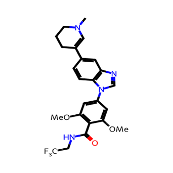 COc1cc(-n2cnc3cc(C4=CN(C)CCC4)ccc32)cc(OC)c1C(=O)NCC(F)(F)F